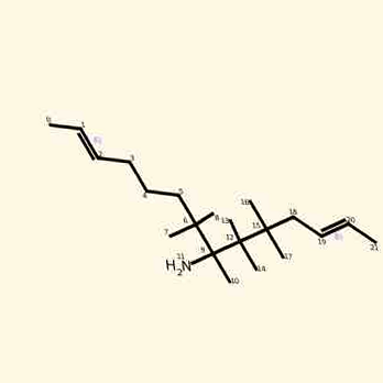 C/C=C/CCCC(C)(C)C(C)(N)C(C)(C)C(C)(C)C/C=C/C